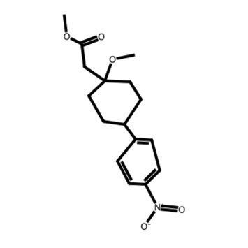 COC(=O)CC1(OC)CCC(c2ccc([N+](=O)[O-])cc2)CC1